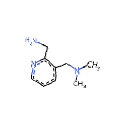 CN(C)Cc1cccnc1CN